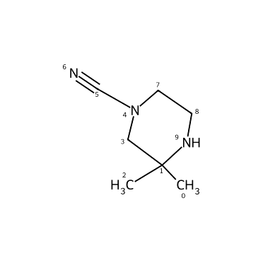 CC1(C)CN(C#N)CCN1